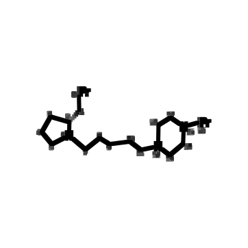 CC(C)C[C@H]1CCCN1CCCCCN1CCN(C(C)C)CC1